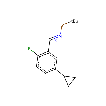 CC(C)(C)S/N=C/c1cc(C2CC2)ccc1F